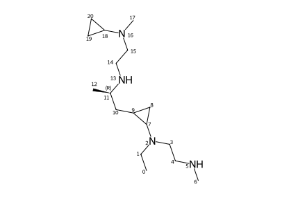 CCN(CCNC)C1CC1C[C@@H](C)NCCN(C)C1CC1